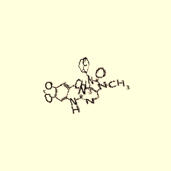 Cc1cc2c(cc1Nc1ncc3c(n1)n(C1CC4CCC1CC4)c(=O)n3C)OCO2